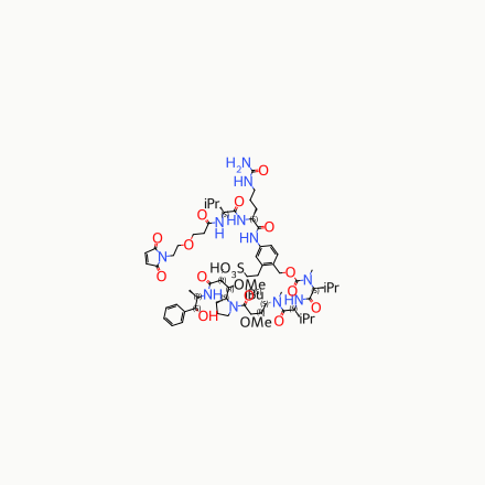 CC[C@H](C)[C@@H]([C@@H](CC(=O)N1CCC[C@H]1[C@H](OC)[C@@H](C)C(=O)N[C@H](C)[C@@H](O)c1ccccc1)OC)N(C)C(=O)[C@@H](NC(=O)[C@H](C(C)C)N(C)C(=O)OCc1ccc(NC(=O)[C@H](CCCNC(N)=O)NC(=O)[C@@H](NC(=O)CCOCCN2C(=O)C=CC2=O)C(C)C)cc1CCS(=O)(=O)O)C(C)C